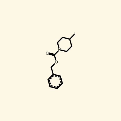 O=C(OCc1ccccc1)N1CCC(I)CC1